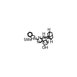 CSc1ccccc1CNc1ncc(C#N)c(NCC23CC4C[C@H](C2)C(NC2CCC(O)CC2)[C@@H](C4)C3)n1